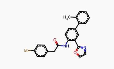 Cc1ccccc1-c1ccc(NC(=O)Cc2ccc(Br)cc2)c(-c2ncco2)c1